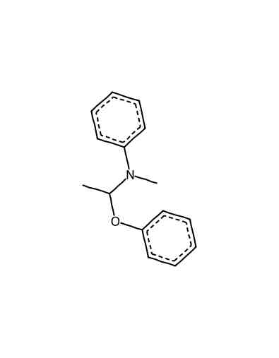 CC(Oc1ccccc1)N(C)c1ccccc1